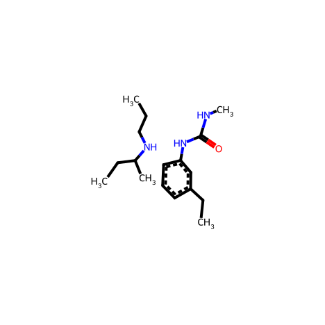 CCCNC(C)CC.CCc1cccc(NC(=O)NC)c1